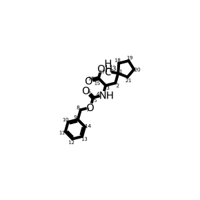 CC1(CC(NC(=O)OCc2ccccc2)C(=O)O)CCCC1